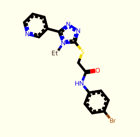 CCn1c(SCC(=O)Nc2ccc(Br)cc2)nnc1-c1cccnc1